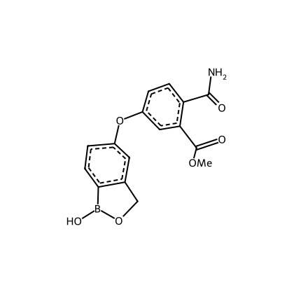 COC(=O)c1cc(Oc2ccc3c(c2)COB3O)ccc1C(N)=O